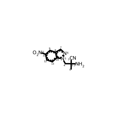 CC(N)(C#N)Cn1ncc2cc([N+](=O)[O-])ccc21